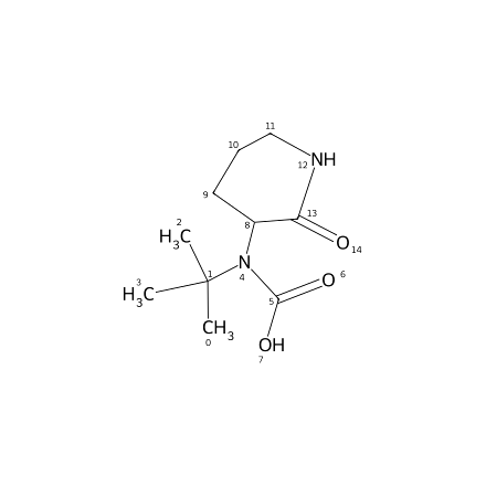 CC(C)(C)N(C(=O)O)C1CCCNC1=O